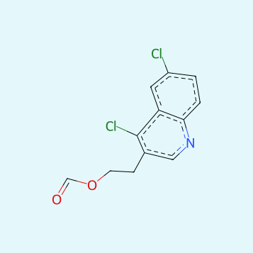 O=COCCc1cnc2ccc(Cl)cc2c1Cl